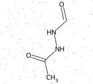 CC(=O)NNC=O